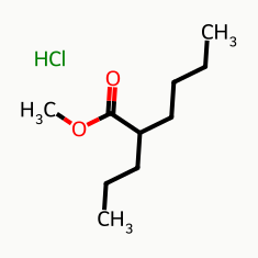 CCCCC(CCC)C(=O)OC.Cl